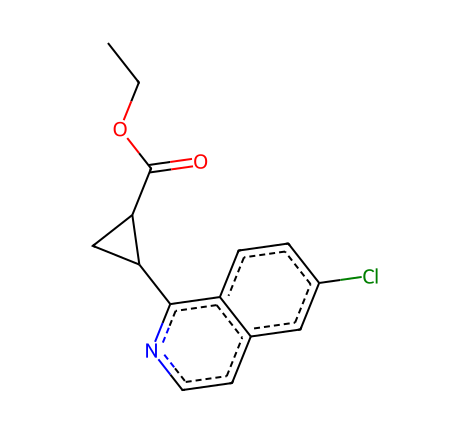 CCOC(=O)C1CC1c1nccc2cc(Cl)ccc12